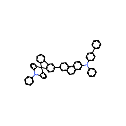 c1ccc(-c2ccc(N(c3ccccc3)c3ccc4c(ccc5cc(-c6ccc7c(c6)-c6ccccc6C76c7ccccc7N(c7ccccc7)c7ccccc76)ccc54)c3)cc2)cc1